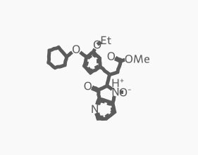 CCOc1cc(C(CC(=O)OC)C2C(=O)c3ncccc3[NH+]2[O-])ccc1OC1CCCCC1